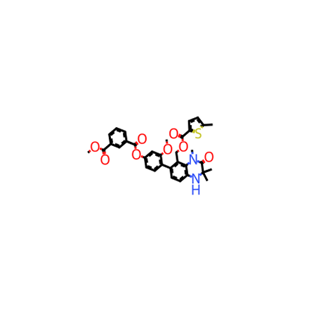 COC(=O)c1cccc(C(=O)Oc2ccc(-c3ccc4c(c3COC(=O)c3ccc(C)s3)N(C)C(=O)C(C)(C)N4)c(OC)c2)c1